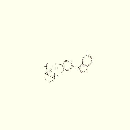 O=C(O)[C@H]1C2CCC(CC2)[C@@H]1Cc1nc(-c2c[nH]c3ncc(F)cc23)ncc1F